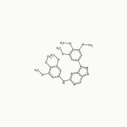 COc1cc(Nc2ncc3nnn(-c4cc(OC)c(OC)c(OC)c4)c3n2)cc(OC)c1OC